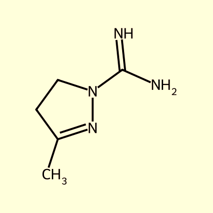 CC1=NN(C(=N)N)CC1